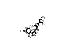 Cc1nn(C)cc1-c1nc(C(=O)Nc2cnn(C)c2[C@@H]2CC[C@@H](N)[C@@H](F)CO2)c(N)s1